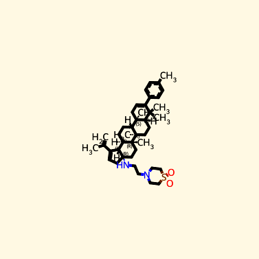 C=C(C)C1=CC[C@]2(NCCN3CCS(=O)(=O)CC3)CC[C@]3(C)[C@H](CC[C@@H]4[C@@]5(C)CC=C(c6ccc(C)cc6)C(C)(C)[C@@H]5CC[C@]43C)[C@@H]12